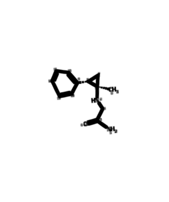 C[C@@]1(NCC(N)=O)C[C@H]1c1ccccc1